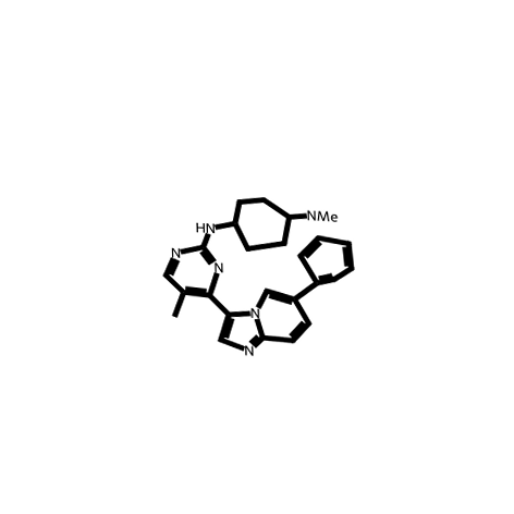 CNC1CCC(Nc2ncc(C)c(-c3cnc4ccc(-c5ccccc5)cn34)n2)CC1